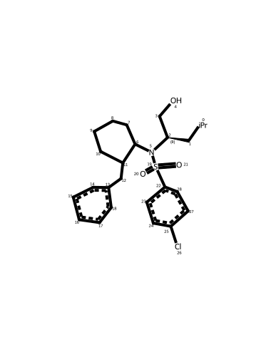 CC(C)C[C@H](CO)N(C1CCCCC1Cc1ccccc1)S(=O)(=O)c1ccc(Cl)cc1